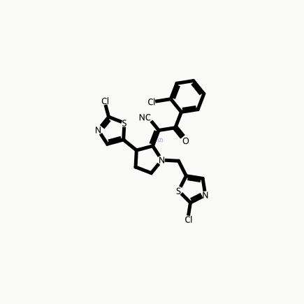 N#C/C(C(=O)c1ccccc1Cl)=C1\C(c2cnc(Cl)s2)CCN1Cc1cnc(Cl)s1